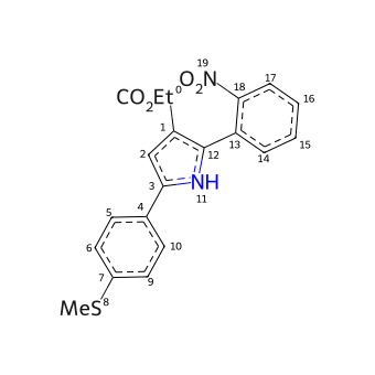 CCOC(=O)c1cc(-c2ccc(SC)cc2)[nH]c1-c1ccccc1[N+](=O)[O-]